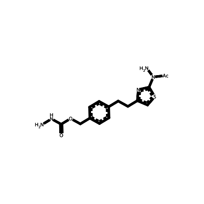 CC(=O)N(N)c1nc(CCc2ccc(COC(=O)NN)cc2)cs1